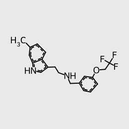 Cc1ccc2c(CCNCc3cccc(OCC(F)(F)F)c3)c[nH]c2c1